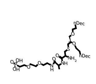 CCCCCCCCCCCCOC[C@H](CSCC(N)C(=O)NC(C)C(=O)NCCOCCOCCP(=O)(O)O)OCCCCCCCCCCCC